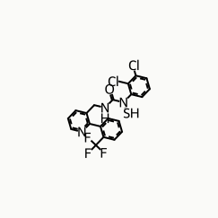 O=C(NCc1cccnc1-c1ccccc1C(F)(F)F)N(S)c1cccc(Cl)c1Cl